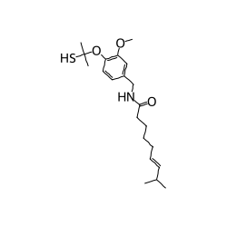 COc1cc(CNC(=O)CCCC/C=C/C(C)C)ccc1OC(C)(C)S